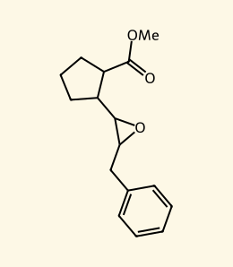 COC(=O)C1CCCC1C1OC1Cc1ccccc1